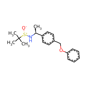 C[C@H](N[S@@+]([O-])C(C)(C)C)c1ccc(COc2ccccc2)cc1